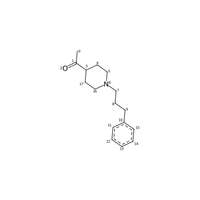 CC(=O)C1CCN(CCCc2ccccc2)CC1